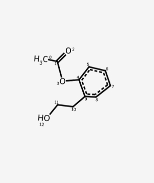 CC(=O)Oc1ccccc1CCO